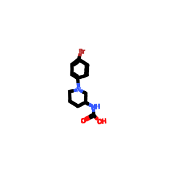 O=C(O)NC1CCCN(c2ccc(Br)cc2)C1